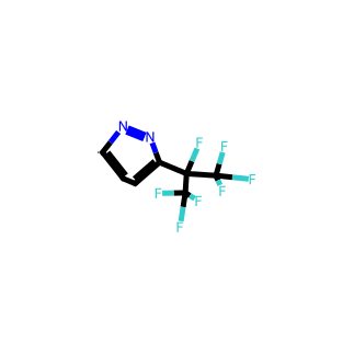 FC(F)(F)C(F)(c1cc[c]nn1)C(F)(F)F